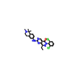 CCc1nn(-c2c(Cl)cccc2Cl)c(=O)c2cnc(Nc3ccc4c(c3)CCN(C)C4(C)C)nc12